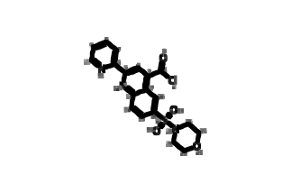 O=C(Cl)c1cc(-c2ccccn2)nc2ccc(S(=O)(=O)N3CCOCC3)cc12